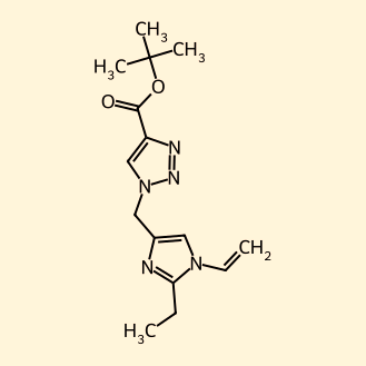 C=Cn1cc(Cn2cc(C(=O)OC(C)(C)C)nn2)nc1CC